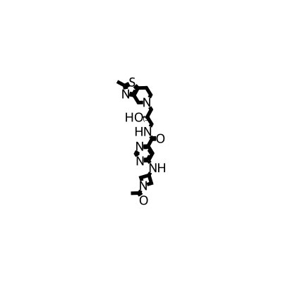 CC(=O)N1CC(Nc2cc(C(=O)NC[C@H](O)CN3CCc4sc(C)nc4C3)ncn2)C1